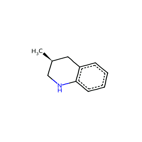 C[C@@H]1CNc2ccccc2C1